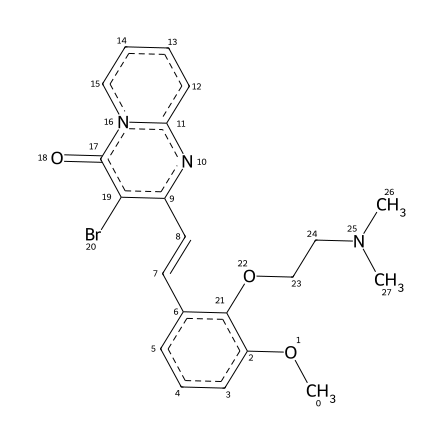 COc1cccc(C=Cc2nc3ccccn3c(=O)c2Br)c1OCCN(C)C